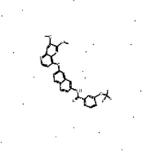 COc1cc2nccc(Oc3ccc4ccc(NC(=O)c5cccc(OC(F)(F)F)c5)cc4c3)c2cc1OC